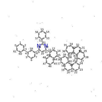 c1ccc(-c2cccc(-c3cc(-c4ccc(-c5cc6ccc7cccc8c9cccc%10ccc%11cccc(c(c5)c6c78)c%11c%109)c5ccccc45)nc(-c4ccccc4)n3)c2)cc1